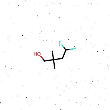 CC(C)(CO)CC(F)F